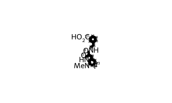 CNC1=c2[nH]c(=O)c(C(=O)NCCc3cccc(C(=O)O)c3)cc2=C[C@@](C)(F)C1